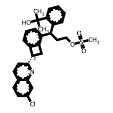 CC(C)(O)c1ccccc1C(CCOS(C)(=O)=O)c1cccc2c1C[C@@H]2c1ccc2ccc(Cl)cc2n1